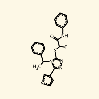 CC(c1ccccc1)n1c(SC(F)C(=O)Nc2ccccc2)nnc1-c1ccsc1